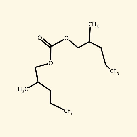 CC(CCC(F)(F)F)COC(=O)OCC(C)CCC(F)(F)F